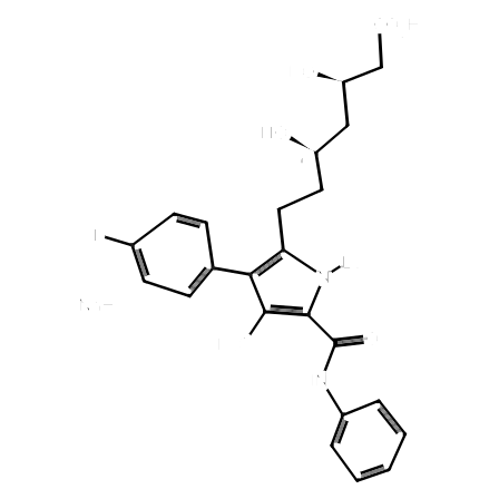 CCn1c(CC[C@@H](O)C[C@@H](O)CC(=O)O)c(-c2ccc(F)cc2)c(C)c1C(=O)Nc1ccccc1.[NaH]